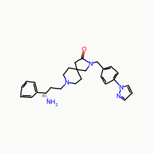 N[C@@H](CCN1CCC2(CC1)CC(=O)N(Cc1ccc(-n3cccn3)cc1)C2)c1ccccc1